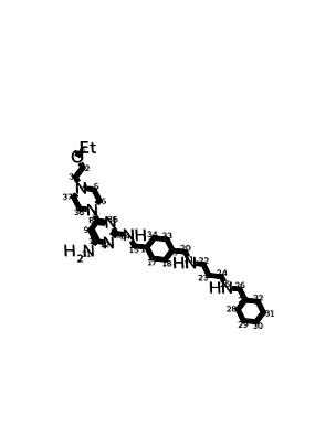 CCOCCN1CCN(c2cc(N)nc(NCC3CCC(CNCCCNCC4CCCCC4)CC3)n2)CC1